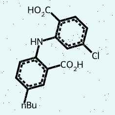 CCCCc1ccc(Nc2cc(Cl)ccc2C(=O)O)c(C(=O)O)c1